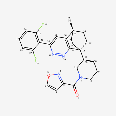 O=C(c1ccon1)N1CCC[C@H]([C@]23CC[C@H](CC2)c2cc(-c4c(F)cccc4F)nnc23)C1